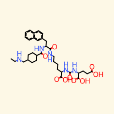 CCNCC1CCC(C(=O)NC(Cc2ccc3ccccc3c2)C(=O)NCCCCC(NC(=O)NC(CCC(=O)O)C(=O)O)C(=O)O)CC1